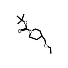 CCOCC1CCN(C(=O)OC(C)(C)C)CC1